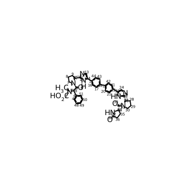 CN(C(=O)O)[C@@H](C(=O)N1CCC[C@H]1c1ncc(-c2ccc(-c3ccc(-c4cnc([C@@H]5CCCN5C(=O)[C@@H]5CCC(=O)N5)[nH]4)cc3)cc2)[nH]1)c1ccccc1